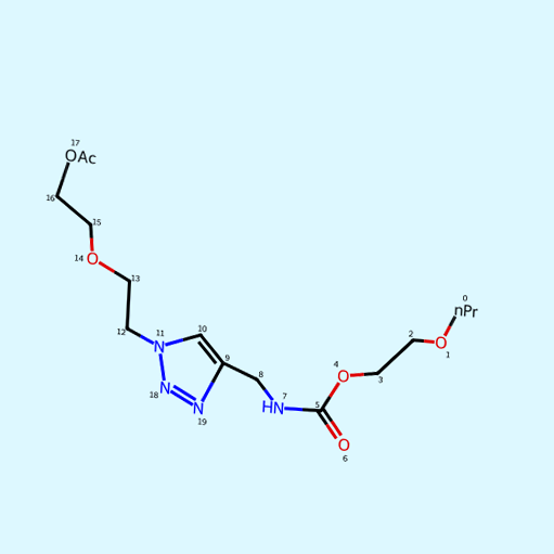 CCCOCCOC(=O)NCc1cn(CCOCCOC(C)=O)nn1